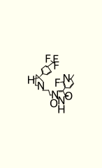 Cc1ccc(-c2cn(CCCN3C[C@@H]4C[C@]4(c4ccc(C(F)(F)F)cc4)C3)c(=O)[nH]c2=O)c(F)n1